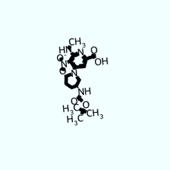 CNc1nc(C(=O)O)cc(N2CCC[C@@H](NC(=O)OC(C)(C)C)C2)c1[N+](=O)[O-]